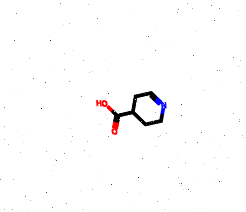 O=C(O)C1CC=NCC1